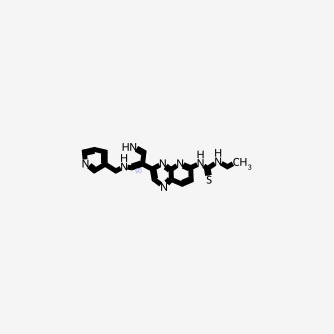 CCNC(=S)Nc1ccc2ncc(/C(C=N)=C/NCc3cccnc3)nc2n1